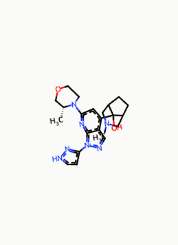 C[C@@H]1COCCN1c1cc(C2(O)C3CCC2CN(C)C3)c2cnn(-c3cc[nH]n3)c2n1